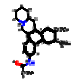 COC(=O)Nc1ccc2c3c(c4cc(OC)c(OC)cc4c2c1)CC1CCCCN1C3